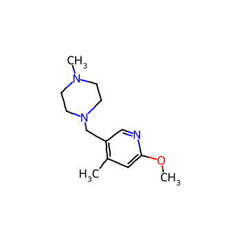 COc1cc(C)c(CN2CCN(C)CC2)cn1